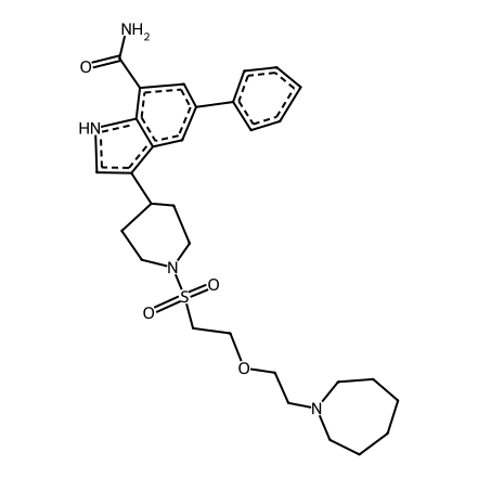 NC(=O)c1cc(-c2ccccc2)cc2c(C3CCN(S(=O)(=O)CCOCCN4CCCCCC4)CC3)c[nH]c12